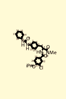 CNC(=O)C(Cc1ccc(NC(=O)Nc2ccccc2)cc1)NC(=O)c1ccc(OC(C)C)c(Cl)c1